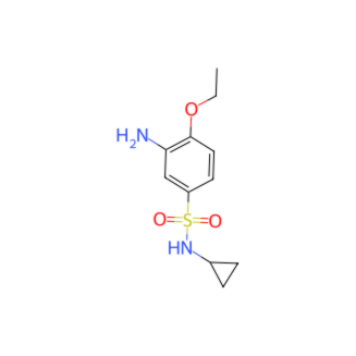 CCOc1ccc(S(=O)(=O)NC2CC2)cc1N